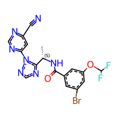 C[C@H](NC(=O)c1cc(Br)cc(OC(F)F)c1)c1ncnn1-c1cc(C#N)ncn1